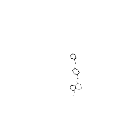 COc1cccc2c1CCCC2=NNc1ccc(OCc2ccccc2)cc1